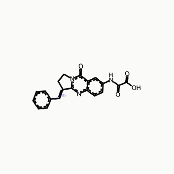 O=C(O)C(=O)Nc1ccc2nc3n(c(=O)c2c1)CC/C3=C\c1ccccc1